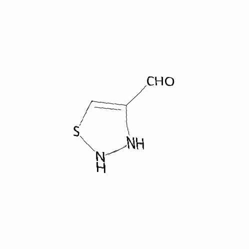 O=CC1=CSNN1